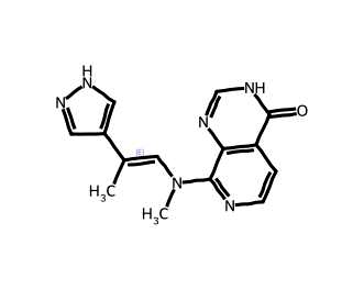 C/C(=C\N(C)c1nccc2c(=O)[nH]cnc12)c1cn[nH]c1